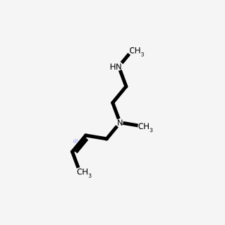 C/C=C\CN(C)CCNC